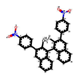 Cc1c(-c2ccc([N+](=O)[O-])cc2)cc2ccccc2c1-c1c(C)c(-c2ccc([N+](=O)[O-])cc2)cc2ccccc12